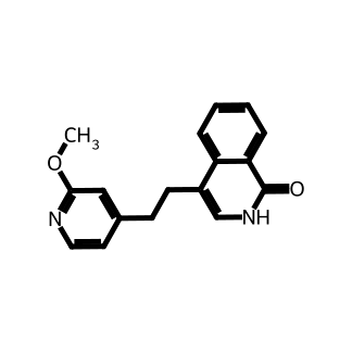 COc1cc(CCc2c[nH]c(=O)c3ccccc23)ccn1